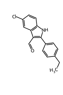 CCc1ccc(-c2[nH]c3ccc(Cl)cc3c2C=O)cc1